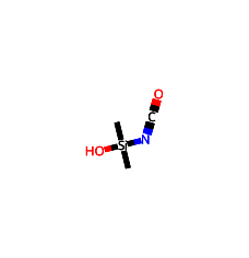 C[Si](C)(O)N=C=O